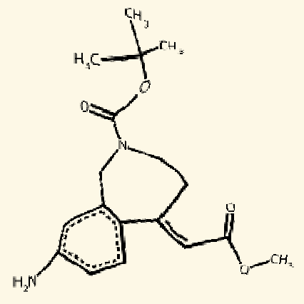 COC(=O)/C=C1\CCN(C(=O)OC(C)(C)C)Cc2cc(N)ccc21